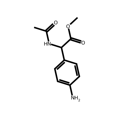 COC(=O)C(NC(C)=O)c1ccc(N)cc1